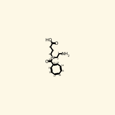 NCCN(CCCC(=O)O)C(=O)C1=C/C=C\C=C/C=C\1